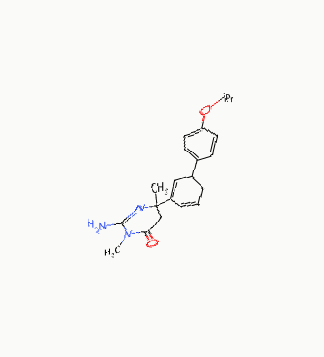 CC(C)Oc1ccc(C2C=C(C3(C)CC(=O)N(C)C(N)=N3)C=CC2)cc1